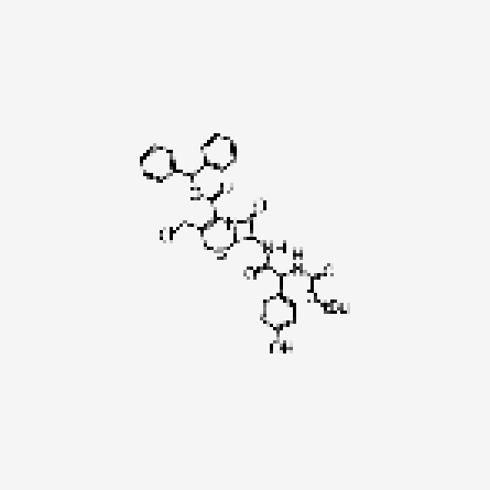 CC(C)(C)OC(=O)NC(C(=O)NC1C(=O)N2C(C(=O)OC(c3ccccc3)c3ccccc3)=C(CCl)CSC12)c1ccc(O)cc1